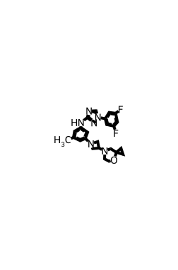 Cc1cc(Nc2ncn(-c3cc(F)cc(F)c3)n2)cc(N2CC(N3CCOC4(CC4)C3)C2)c1